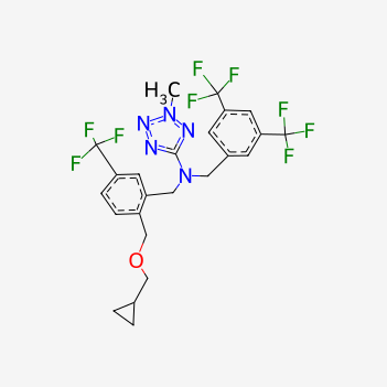 Cn1nnc(N(Cc2cc(C(F)(F)F)cc(C(F)(F)F)c2)Cc2cc(C(F)(F)F)ccc2COCC2CC2)n1